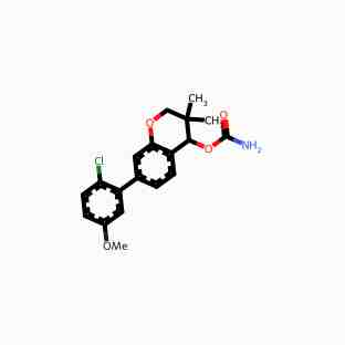 COc1ccc(Cl)c(-c2ccc3c(c2)OCC(C)(C)C3OC(N)=O)c1